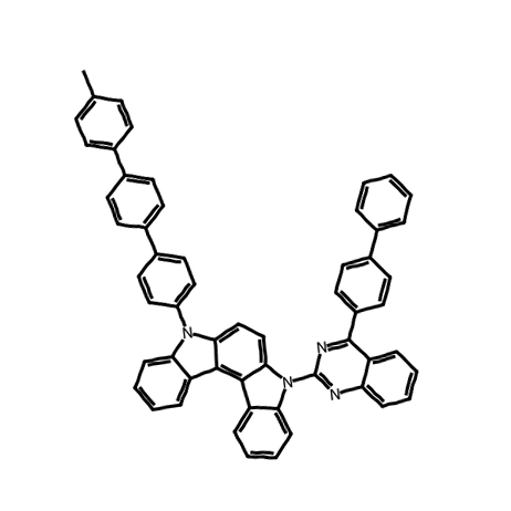 Cc1ccc(-c2ccc(-c3ccc(-n4c5ccccc5c5c6c7ccccc7n(-c7nc(-c8ccc(-c9ccccc9)cc8)c8ccccc8n7)c6ccc54)cc3)cc2)cc1